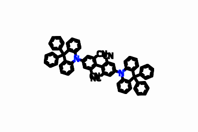 N#Cc1cc(N2c3ccccc3C(c3ccccc3)(c3ccccc3)c3ccccc32)cc(C#N)c1-c1c(C#N)cc(N2c3ccccc3C(c3ccccc3)(c3ccccc3)c3ccccc32)cc1C#N